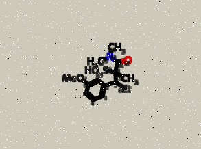 CCC(c1cccc(OC)c1)C(C)(C(=O)N(C)C)S(=O)(=O)O